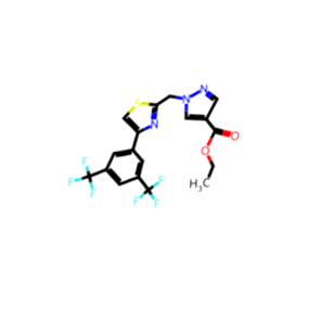 CCOC(=O)c1cnn(Cc2nc(-c3cc(C(F)(F)F)cc(C(F)(F)F)c3)cs2)c1